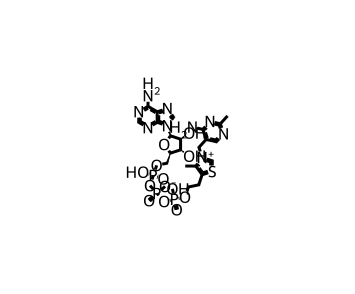 Cc1ncc(C[n+]2csc(CCOP(=O)(O)OP(=O)([O-])OP(=O)(O)OC[C@H]3O[C@@H](n4cnc5c(N)ncnc54)[C@H](O)[C@@H]3O)c2C)c(N)n1